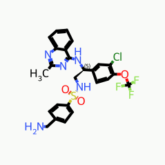 Cc1nc(N[C@H](CNS(=O)(=O)c2ccc(CN)cc2)c2ccc(OC(F)(F)F)c(Cl)c2)c2ccccc2n1